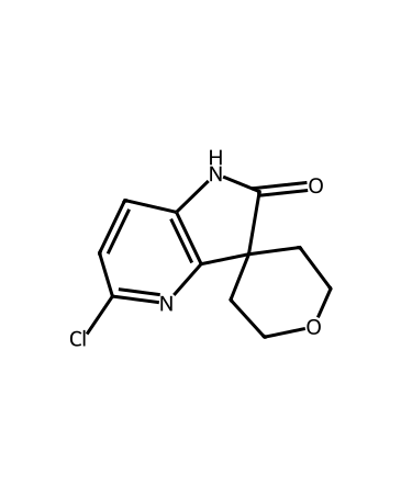 O=C1Nc2ccc(Cl)nc2C12CCOCC2